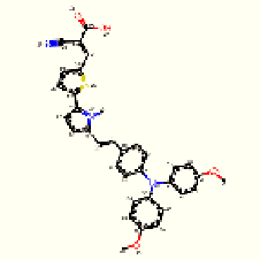 COc1ccc(N(c2ccc(/C=C/c3ccc(-c4ccc(/C=C(\C#N)C(=O)O)s4)n3C)cc2)c2ccc(OC)cc2)cc1